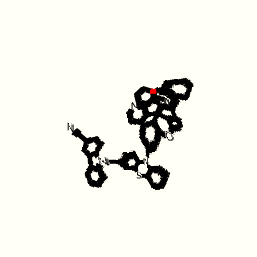 N#Cc1ccc2c(c1)c1ccccc1n2-c1ccc2c(c1)Sc1ccccc1N2c1ccc2c(c1)Oc1cccc(-n3c4ccccc4c4ccccc43)c1C21c2cccnc2-c2ncccc21